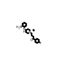 C=C.Nc1ccccc1NC1CCN(CCCC(=O)c2ccc(F)cc2)CC1